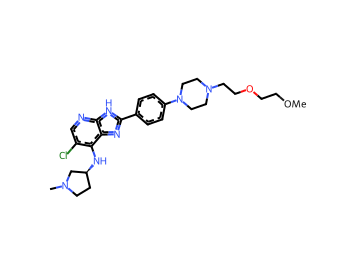 COCCOCCN1CCN(c2ccc(-c3nc4c(N[C@H]5CCN(C)C5)c(Cl)cnc4[nH]3)cc2)CC1